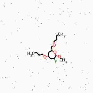 CCCCOC[C@@H]1C[C@H](OCCCC)C[C@H](F)[C@H](OC)O1